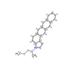 CCCC(C)n1ccc2c3cc4cc5ccccc5cc4cc3ccc21